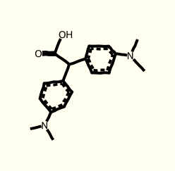 CN(C)c1ccc(C(C(=O)O)c2ccc(N(C)C)cc2)cc1